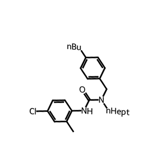 CCCCCCCN(Cc1ccc(CCCC)cc1)C(=O)Nc1ccc(Cl)cc1C